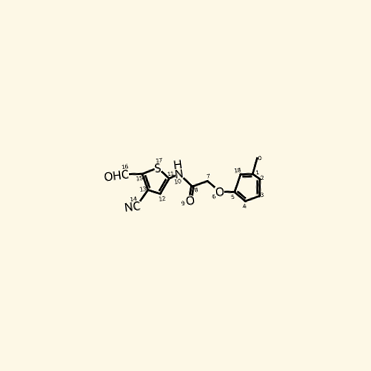 Cc1cccc(OCC(=O)Nc2cc(C#N)c(C=O)s2)c1